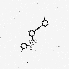 Cc1cccc(C#Cc2cncc(C(=O)N=S(C)(=O)c3cccc(C)c3)c2)c1